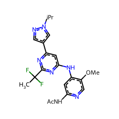 COc1cnc(NC(C)=O)cc1Nc1cc(-c2cnn(C(C)C)c2)nc(C(C)(F)F)n1